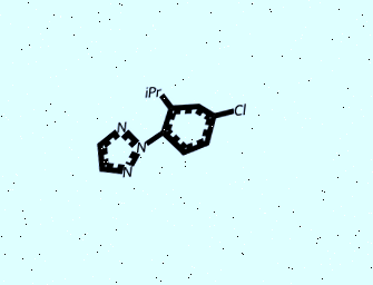 CC(C)c1cc(Cl)ccc1-n1nccn1